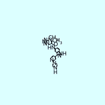 CC1=C(C(=O)Nc2ccc3[nH]nc(-c4ccnc(N5CCNCC5)c4)c3c2)Cn2nnnc2N1C